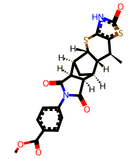 COC(=O)c1ccc(N2C(=O)[C@@H]3[C@H]4C[C@H]([C@@H]5Sc6[nH]c(=O)sc6[C@@H](C)[C@H]45)[C@@H]3C2=O)cc1